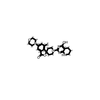 O=C1OC2(CCN(c3nc(O)c4c(n3)NCCC4)CC2)c2c(F)cc(N3CCOCC3)cc21